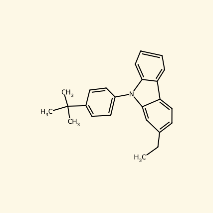 CCc1ccc2c3ccccc3n(-c3ccc(C(C)(C)C)cc3)c2c1